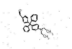 CCN(CC)c1ccc(C(c2ccccc2)(c2ccccc2)c2ccc(C=O)cc2)cc1